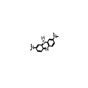 CN(C)c1ccc2c(c1)[SH]=c1cc(N(C)C)ccc1=N2